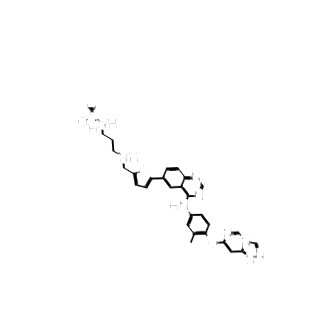 Cc1cc(Nc2ncnc3ccc(-c4ccc(CNCCCN[SH](=O)=O)o4)cc23)ccc1Oc1cc2nncn2cn1